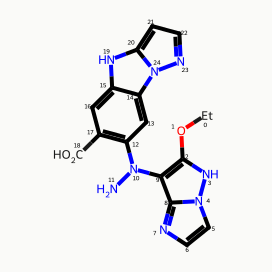 CCOc1[nH]n2ccnc2c1N(N)c1cc2c(cc1C(=O)O)[nH]c1ccnn12